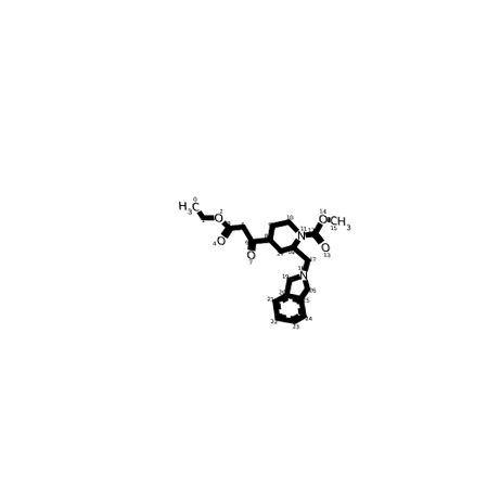 CCOC(=O)CC(=O)C1CCN(C(=O)OC)C(CN2Cc3ccccc3C2)C1